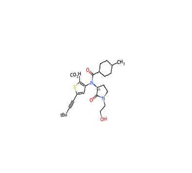 CC1CCC(C(=O)N(c2cc(C#CC(C)(C)C)sc2C(=O)O)[C@H]2CCN(CCO)C2=O)CC1